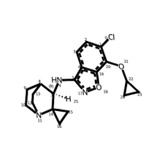 Clc1ccc2c(N[C@@H]3C4CCN(CC4)C34CC4)noc2c1OC1CC1